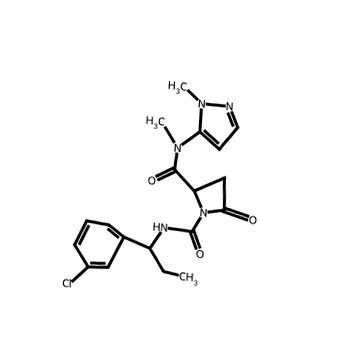 CCC(NC(=O)N1C(=O)CC1C(=O)N(C)c1ccnn1C)c1cccc(Cl)c1